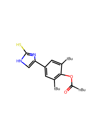 CCCCC(=O)Oc1c(C(C)(C)C)cc(-c2c[nH]c(S)n2)cc1C(C)(C)C